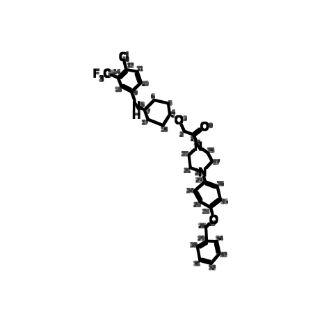 O=C(CO[C@H]1CC[C@H](Nc2ccc(Cl)c(C(F)(F)F)c2)CC1)N1CCN(c2ccc(OCc3ccccc3)cc2)CC1